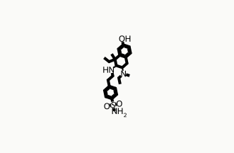 CCN(C)[C@@H]1Cc2ccc(O)cc2C(C)(CC)[C@@H]1NCCc1ccc(S(N)(=O)=O)cc1